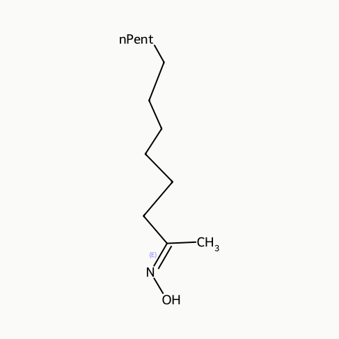 CCCCCCCCCCC/C(C)=N/O